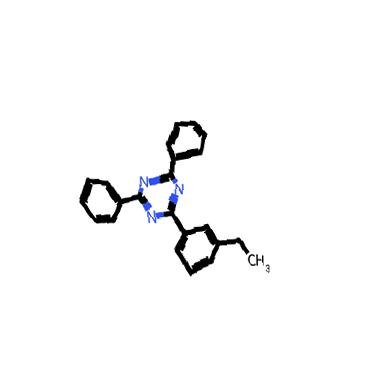 CCc1cccc(-c2nc(-c3ccccc3)nc(-c3ccccc3)n2)c1